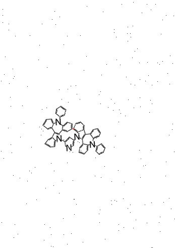 c1ccc(N2c3ccccc3-c3c(n(-c4cncc(-n5c6c(c7ccccc75)-c5ccccc5N(c5ccccc5)c5ccccc5-6)c4)c4ccccc34)-c3ccccc32)cc1